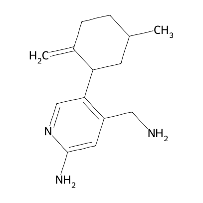 C=C1CCC(C)CC1c1cnc(N)cc1CN